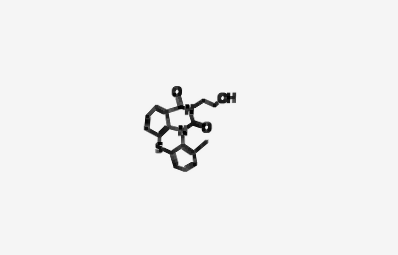 Cc1cccc2c1-n1c(=O)n(CCO)c(=O)c3cccc(c31)S2